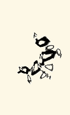 COc1cc(C(=O)N2CCN(c3cnc(C)cc3OC)C[C@H]2CO)ncc1Oc1ccc(F)cc1